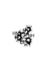 CC[C@H]1[C@@H]2C[C@@H]2C[C@H](Nc2nc(-c3c[nH]c4ncc(Cl)cc34)nn3cccc23)[C@H]1C(=O)O